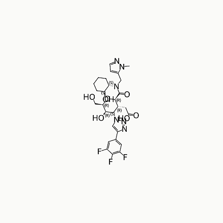 Cn1nccc1CN(C(=O)[C@@H]1O[C@H](CO)[C@H](O)[C@@H](n2cc(-c3cc(F)c(F)c(F)c3)nn2)[C@H]1CC(=O)O)[C@H]1CCCC[C@@H]1O